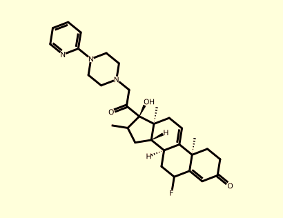 CC1C[C@H]2[C@@H]3CC(F)C4=CC(=O)CC[C@]4(C)C3=CC[C@]2(C)[C@@]1(O)C(=O)CN1CCN(c2ccccn2)CC1